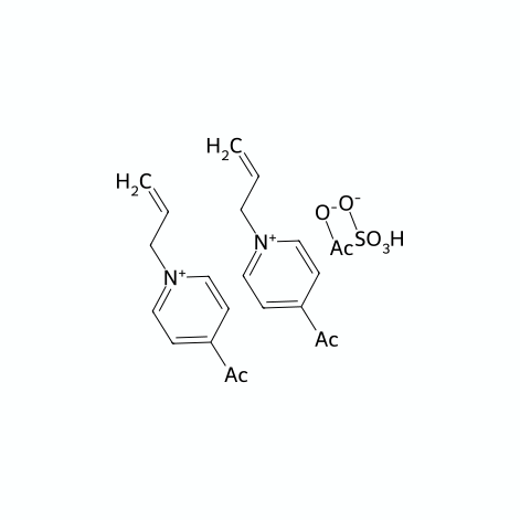 C=CC[n+]1ccc(C(C)=O)cc1.C=CC[n+]1ccc(C(C)=O)cc1.CC(=O)[O-].O=S(=O)([O-])O